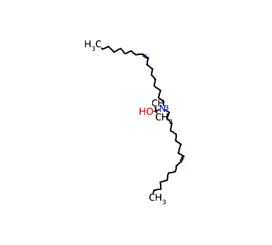 CCCCCCCC/C=C\CCCCCCCCN(CCCCCCCC/C=C\CCCCCCCC)C(C)(C)O